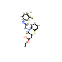 CCOC(=O)CC1Sc2ccccc2N(Cc2nc3ccc(F)c(F)c3s2)C1=S